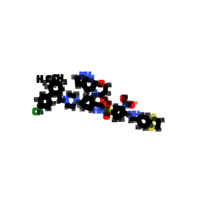 CC1(C)CCC(CN2CCN(c3ccc(C(=O)NS(=O)(=O)c4ccc(NCC5CCC6(CC5)SCCS6)c([N+](=O)[O-])c4)c(N4CCCOc5nc6[nH]ccc6cc54)c3)CC2)=C(c2ccc(Cl)cc2)C1